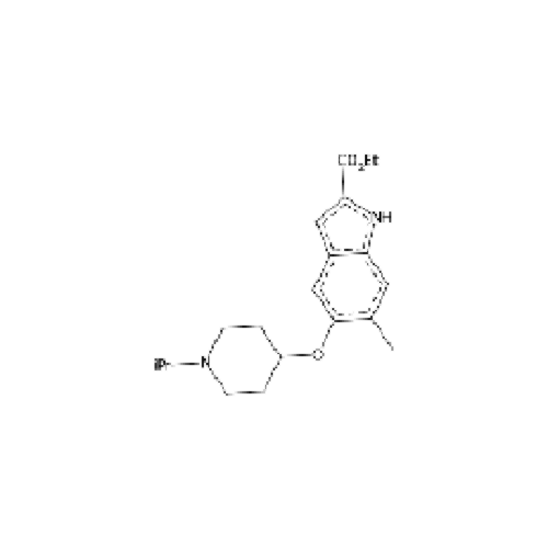 CCOC(=O)c1cc2cc(OC3CCN(C(C)C)CC3)c(C)cc2[nH]1